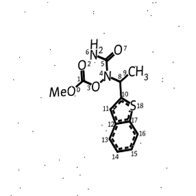 COC(=O)ON(C(N)=O)C(C)c1cc2ccccc2s1